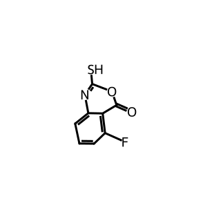 O=c1oc(S)nc2cccc(F)c12